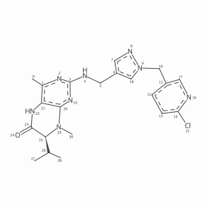 Cc1nc(NCc2cnn(Cc3ccc(Cl)nc3)c2)nc2c1NC(=O)[C@H](C(C)C)N2C